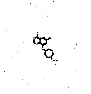 COC1CCCC(Oc2cc(Br)cc3c(C)ncnc23)CC1